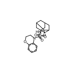 CS(=O)(=O)[C@]12CC3CC(C1)[C@@H](NC(=O)N1CCOc4ccccc41)C(C3)C2